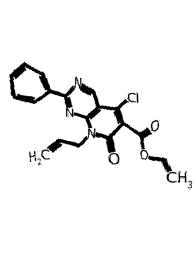 C=CCn1c(=O)c(C(=O)OCC)c(Cl)c2cnc(-c3ccccc3)nc21